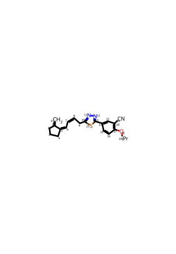 C=C1CCC/C1=C/C=C\Cc1nnc(-c2ccc(OC(C)C)c(C#N)c2)s1